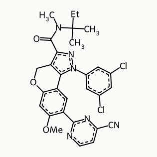 CCC(C)(C)N(C)C(=O)c1nn(-c2cc(Cl)cc(Cl)c2)c2c1COc1cc(OC)c(-c3nccc(C#N)n3)cc1-2